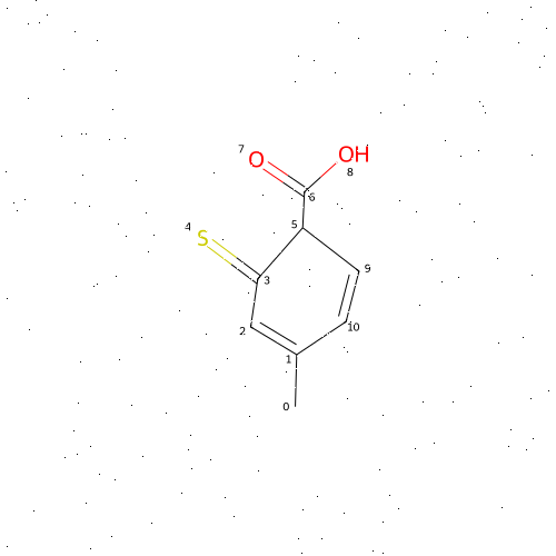 CC1=CC(=S)C(C(=O)O)C=C1